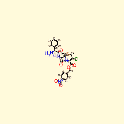 NC(C(=O)NC1C(=O)N2C(C(=O)OCc3ccc([N+](=O)[O-])cc3)=C(Cl)CS[C@H]12)c1ccccc1